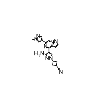 Cn1cc(-c2cn3nccc3c(-c3cn(C4CC(C#N)C4)nc3N)n2)cn1